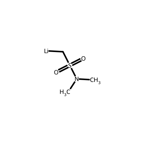 [Li][CH2]S(=O)(=O)N(C)C